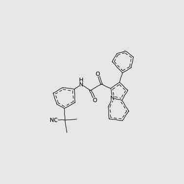 CC(C)(C#N)c1cccc(NC(=O)C(=O)c2c(-c3ccccc3)cc3ccccn23)c1